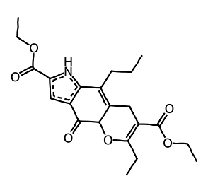 CCCC1=C2CC(C(=O)OCC)=C(CC)OC2C(=O)c2cc(C(=O)OCC)[nH]c21